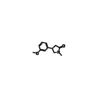 COc1cccc(C2CC(=O)N(C)C2)c1